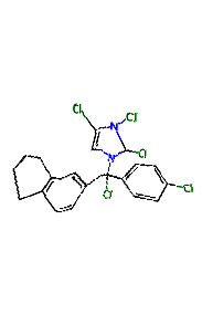 ClC1=CN(C(Cl)(c2ccc(Cl)cc2)c2ccc3c(c2)CCCC3)C(Cl)N1Cl